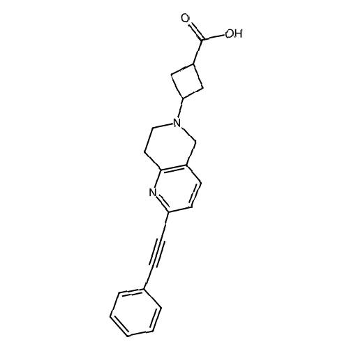 O=C(O)C1CC(N2CCc3nc(C#Cc4ccccc4)ccc3C2)C1